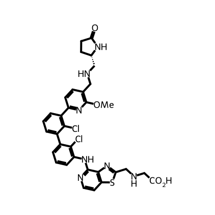 COc1nc(-c2cccc(-c3cccc(Nc4nccc5sc(CNCC(=O)O)nc45)c3Cl)c2Cl)ccc1CNC[C@@H]1CCC(=O)N1